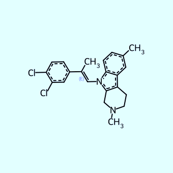 C/C(=C\n1c2c(c3cc(C)ccc31)CCN(C)C2)c1ccc(Cl)c(Cl)c1